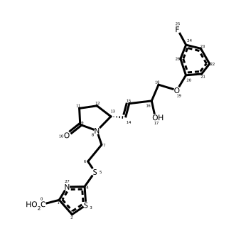 O=C(O)c1csc(SCCN2C(=O)CC[C@@H]2C=CC(O)COc2cccc(F)c2)n1